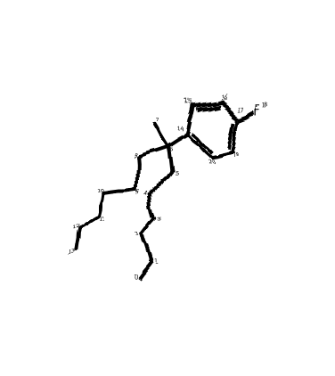 CCCCCCC(C)(CCCCCC)c1ccc(F)cc1